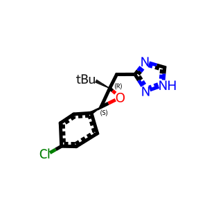 CC(C)(C)[C@@]1(Cc2nc[nH]n2)O[C@H]1c1ccc(Cl)cc1